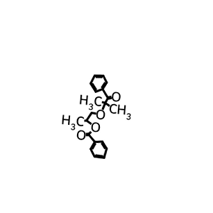 CC(COC(C)(C)C(=O)c1ccccc1)OC(=O)c1ccccc1